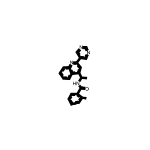 Cc1ccccc1C(=O)NC(C)c1cc(-c2cncnc2)nc2ccccc12